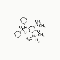 COc1c(N(C)C)cc(N(c2ccccc2)S(=O)(=O)c2ccccc2)cc1N(C)C